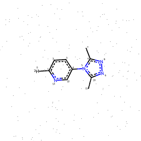 [2H]c1ccc(-n2c(C)nnc2C)cn1